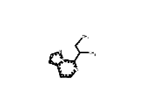 CCC(C)c1nccc2ccnn12